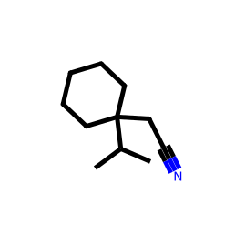 CC(C)C1(CC#N)CCCCC1